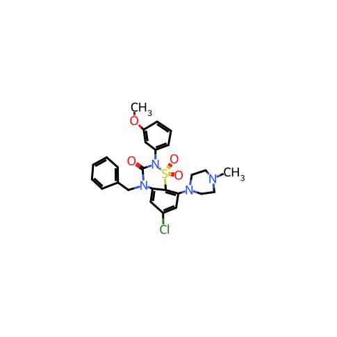 COc1cccc(N2C(=O)N(Cc3ccccc3)c3cc(Cl)cc(N4CCN(C)CC4)c3S2(=O)=O)c1